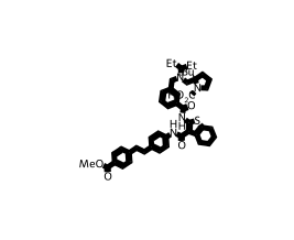 CCC(CC)N(Cc1cccc(C(=O)Nc2sc3c(c2C(=O)Nc2ccc(CCc4ccc(C(=O)OC)cc4)cc2)CCCC3)c1)C[C@@]1(C(C)(C)C)CCCN1C(=O)O